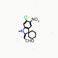 CN1/C(=C/C=O)C2(CCCCC2)c2cc([N+](=O)[O-])c(Cl)cc21